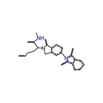 C=CCCC(C(=C)NC)N1Cc2cc(-n3c(=C)c4ccccc4c3=C)ccc2C1=C